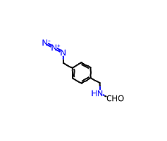 [N-]=[N+]=NCc1ccc(CNC=O)cc1